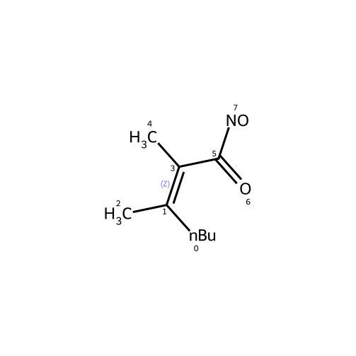 CCCC/C(C)=C(/C)C(=O)N=O